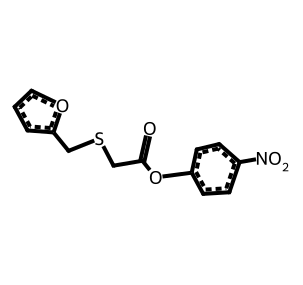 O=C(CSCc1ccco1)Oc1ccc([N+](=O)[O-])cc1